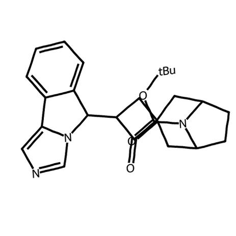 CC(C)(C)OC(=O)N1C2CCC1CC1(CC(C3c4ccccc4-c4cncn43)C1=O)C2